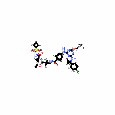 C=C[C@@H]1C[C@]1(NC(=O)C(C)(C)CNC(=O)c1ccc(Nc2nc(NC3(c4ccc(Cl)cc4)CC3)nc(OCC(F)(F)F)n2)cc1)C(=O)NS(=O)(=O)C1CCC1